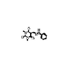 CN1C(=O)C(C=NNc2ccccc2)C(=O)N(C)C1=O